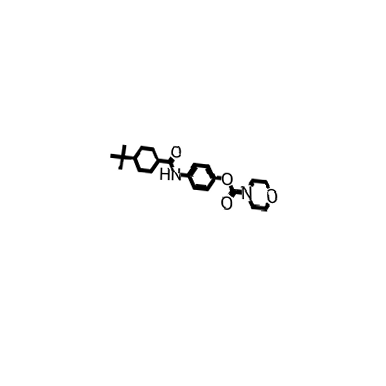 CC(C)(C)C1CCC(C(=O)Nc2ccc(OC(=O)N3CCOCC3)cc2)CC1